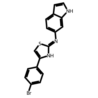 Brc1ccc(-c2csc(=Nc3ccc4cc[nH]c4c3)[nH]2)cc1